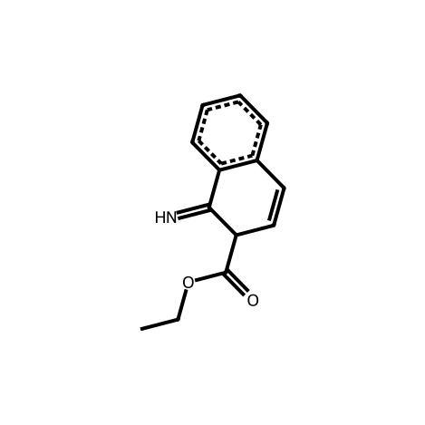 CCOC(=O)C1C=Cc2ccccc2C1=N